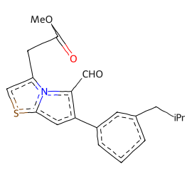 COC(=O)Cc1csc2cc(-c3cccc(CC(C)C)c3)c(C=O)n12